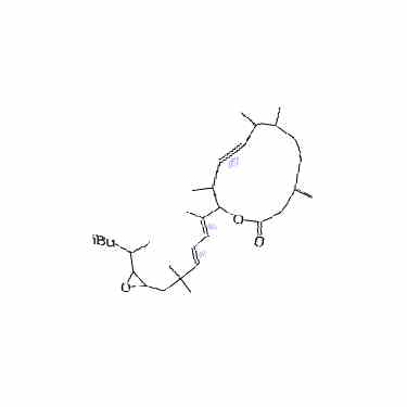 CCC(C)C(C)C1OC1CC(C)(C)/C=C/C=C(\C)C1OC(=O)CC(C)CCC(C)C(C)/C=C/C1C